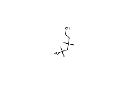 CC(C)(O)CC(C)(C)CCO